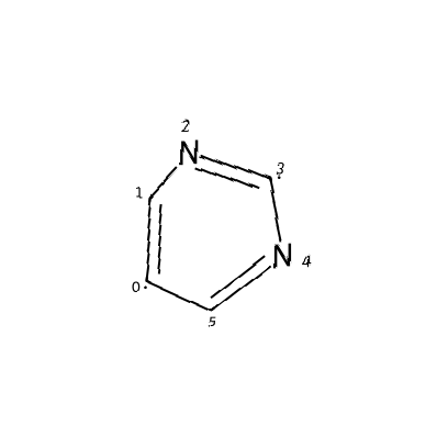 [c]1cn[c]nc1